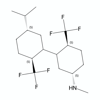 CN[C@H]1CC[C@H](C(F)(F)F)C(C2C[C@@H](C(C)C)CC[C@@H]2C(F)(F)F)C1